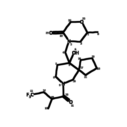 CC1CN(CC2(O)CCN(C(=O)C(C)CC(F)(F)F)CC23CCCC3)C(=O)CO1